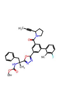 CC#CC1CCCN1C(=O)c1cc(-c2nnc([C@@](C)(Cc3ccccc3)NC(=O)OC(C)(C)C)o2)cc(-c2cccc(F)c2C#N)c1